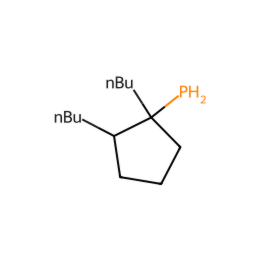 CCCCC1CCCC1(P)CCCC